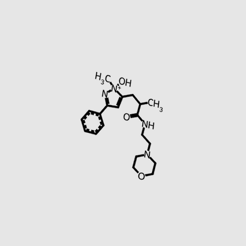 CC(CC1=CC(c2ccccc2)=N[N+]1(C)O)C(=O)NCCN1CCOCC1